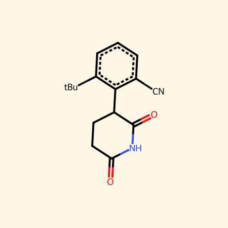 CC(C)(C)c1cccc(C#N)c1C1CCC(=O)NC1=O